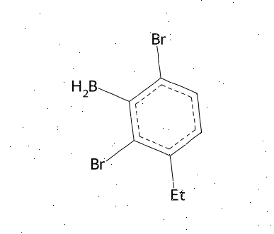 Bc1c(Br)ccc(CC)c1Br